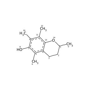 C[C]1CCc2c(C)c(O)c(C)c(C)c2O1